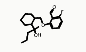 CCCC(C)(O)C1CCCCC1COc1cccc(F)c1C=O